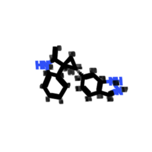 C=C1Nc2ccccc2[C@]12C[C@@H]2c1ccc2cn[nH]c2c1